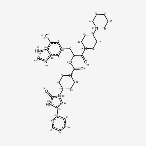 Cc1cc(CC(OC(=O)N2CCC(n3cc(-c4ccccc4)[nH]c3=O)CC2)C(=O)N2CCC(N3CCCCC3)CC2)cc2nn[nH]c12